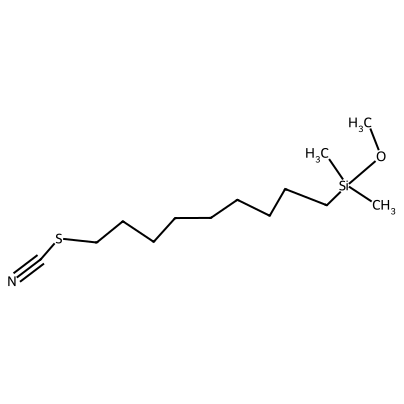 CO[Si](C)(C)CCCCCCCCCSC#N